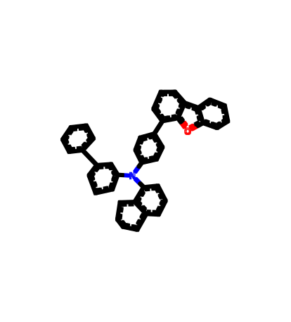 c1ccc(-c2cccc(N(c3ccc(-c4cccc5c4oc4ccccc45)cc3)c3cccc4ccccc34)c2)cc1